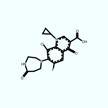 O=C1CCN(c2c(F)cc3c(=O)c(C(=O)O)cn(C4CC4)c3c2Cl)CCN1